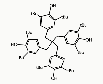 CC(C)(C)c1cc(CC(Cc2cc(C(C)(C)C)c(O)c(C(C)(C)C)c2)(Cc2cc(C(C)(C)C)c(O)c(C(C)(C)C)c2)Cc2cc(C(C)(C)C)c(O)c(C(C)(C)C)c2)cc(C(C)(C)C)c1O